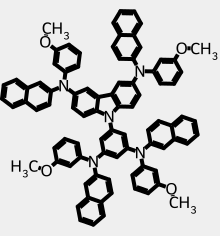 COc1cccc(N(c2cc(N(c3cccc(OC)c3)c3ccc4ccccc4c3)cc(-n3c4ccc(N(c5cccc(OC)c5)c5ccc6ccccc6c5)cc4c4cc(N(c5cccc(OC)c5)c5ccc6ccccc6c5)ccc43)c2)c2ccc3ccccc3c2)c1